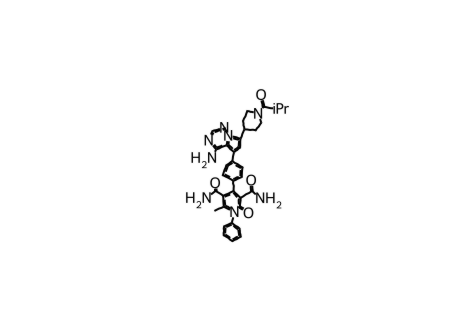 Cc1c(C(N)=O)c(-c2ccc(-c3cc(C4CCN(C(=O)C(C)C)CC4)n4ncnc(N)c34)cc2)c(C(N)=O)c(=O)n1-c1ccccc1